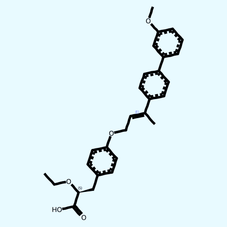 CCO[C@@H](Cc1ccc(OC/C=C(\C)c2ccc(-c3cccc(OC)c3)cc2)cc1)C(=O)O